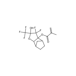 C=C(C)C(=O)OC12C3CCC(C3)C1OC(O)(C(F)(F)F)C2(F)F